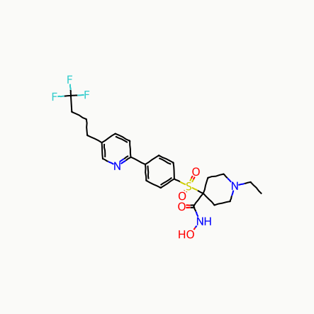 CCN1CCC(C(=O)NO)(S(=O)(=O)c2ccc(-c3ccc(CCCC(F)(F)F)cn3)cc2)CC1